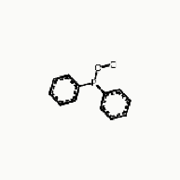 ClOP(c1ccccc1)c1ccccc1